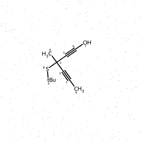 CC#CC(C)(C#CO)SC(C)(C)C